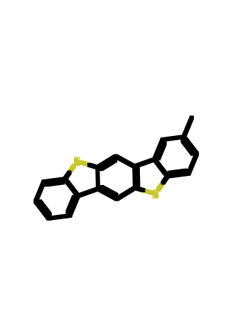 Cc1ccc2sc3cc4c(cc3c2c1)sc1ccccc14